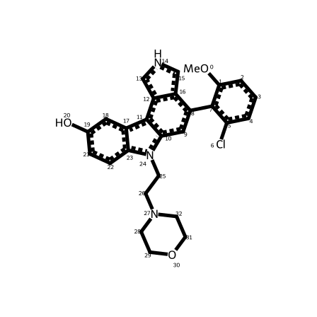 COc1cccc(Cl)c1-c1cc2c(c3c[nH]cc13)c1cc(O)ccc1n2CCN1CCOCC1